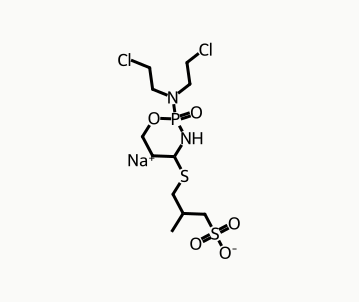 CC(CSC1CCOP(=O)(N(CCCl)CCCl)N1)CS(=O)(=O)[O-].[Na+]